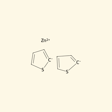 [Zn+2].[c-]1cccs1.[c-]1cccs1